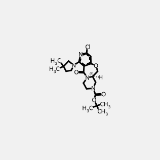 CC1(C)CCN(c2nc(Cl)cc3c2C(=O)N2CCN(C(=O)OC(C)(C)C)C[C@@H]2CO3)C1